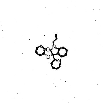 C=CCN1C(=O)[C@](Oc2ccccc2)(c2ccccn2)c2ccccc21